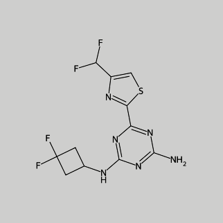 Nc1nc(NC2CC(F)(F)C2)nc(-c2nc(C(F)F)cs2)n1